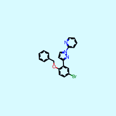 Brc1ccc(OCc2ccccc2)c(-c2ccn(-c3ccccn3)n2)c1